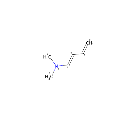 [CH]=CC=CN(C)C